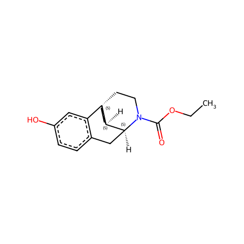 CCOC(=O)N1CC[C@@]23CCCC[C@@H]2[C@@H]1Cc1ccc(O)cc13